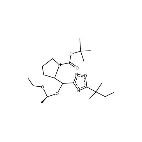 CCO[C@H](C)OC(c1noc(C(C)(C)CC)n1)C1CCCN1C(=O)OC(C)(C)C